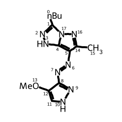 CCCCc1n[nH]c2c(N=Nc3n[nH]cc3OC)c(C)nn12